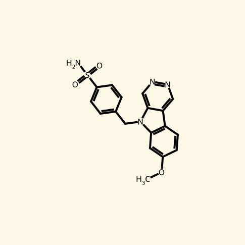 COc1ccc2c3cnncc3n(Cc3ccc(S(N)(=O)=O)cc3)c2c1